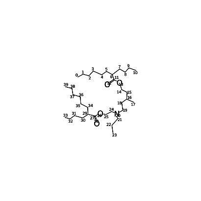 CCCCCCC(CCCC)C(=O)OCCC(C)CCN(CCC)CCOC(=O)C(CCCC)CCCCCC